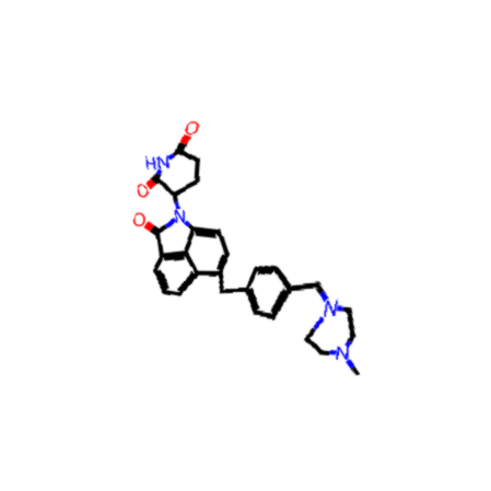 CN1CCN(Cc2ccc(Cc3ccc4c5c(cccc35)C(=O)N4C3CCC(=O)NC3=O)cc2)CC1